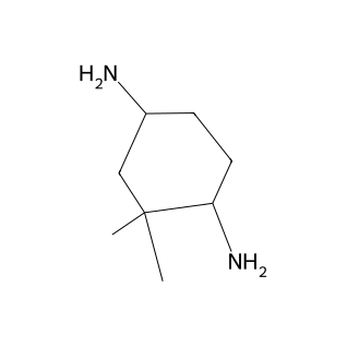 CC1(C)CC(N)CCC1N